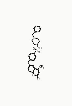 O=c1cc(C(F)(F)F)c2cc(Cc3ccc(S(=O)(=O)NC4CCN(Cc5ccccc5)CC4)cc3)ccc2o1